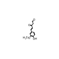 COc1cc(C=CC(=O)C[C]=O)ccc1O